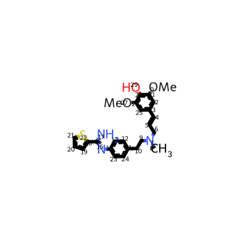 COc1cc(C=CCN(C)CCc2ccc(N=C(N)c3cccs3)cc2)cc(OC)c1O